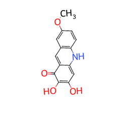 COc1ccc2[nH]c3cc(O)c(O)c(=O)c-3cc2c1